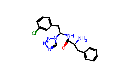 N[C@@H](Cc1ccccc1)C(=O)NC(Cc1cccc(Cl)c1)n1cnnn1